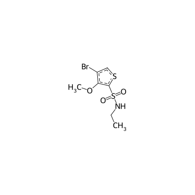 CCNS(=O)(=O)c1scc(Br)c1OC